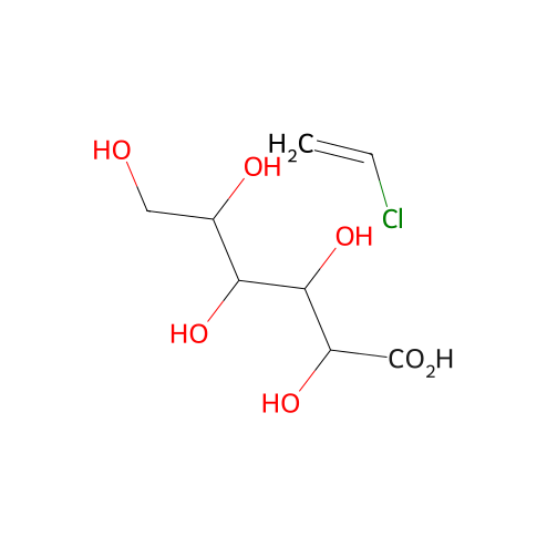 C=CCl.O=C(O)C(O)C(O)C(O)C(O)CO